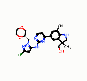 CC1(CO)CNc2c(C#N)cc(-c3ccnc(Nc4cc(Cl)nn4C[C@H]4COCCO4)n3)cc21